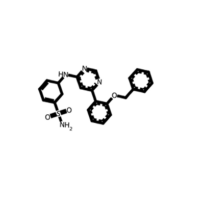 NS(=O)(=O)C1=CC=CC(Nc2cc(-c3ccccc3OCc3ccccc3)ncn2)C1